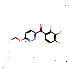 O=C(c1ccc(OCC(F)(F)F)nn1)c1ccc(F)c(Cl)c1F